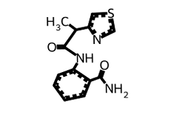 CC(C(=O)Nc1ccccc1C(N)=O)c1cscn1